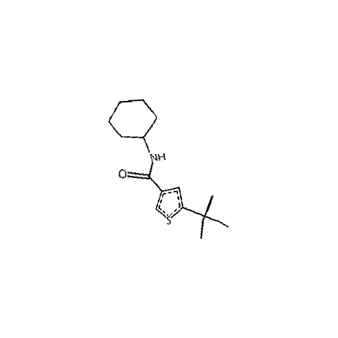 CC(C)(C)c1cc(C(=O)NC2CCCCC2)cs1